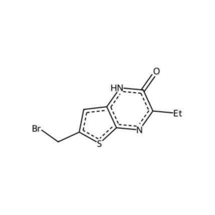 CCc1nc2sc(CBr)cc2[nH]c1=O